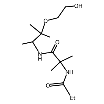 CCC(=O)NC(C)(C)C(=O)NC(C)C(C)(C)OCCO